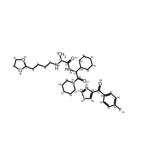 C[C@H](NCCCCC1OCCO1)C(=O)N[C@H](C(=O)N1CCCC[C@H]1c1nc(C(=O)c2ccc(F)cc2)cs1)C1CCCCC1